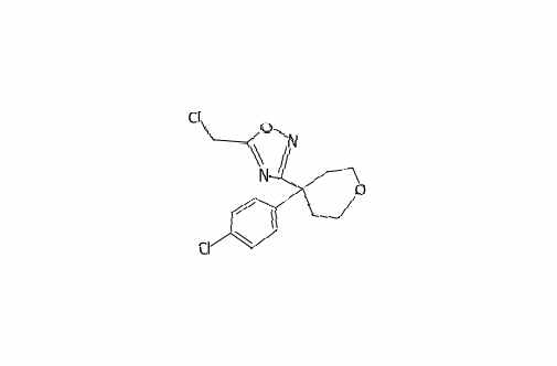 ClCc1nc(C2(c3ccc(Cl)cc3)CCOCC2)no1